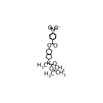 CN(C(=O)OC(C)(C)C)C1CC2=C(CC(OC(=O)c3ccc([N+](=O)[O-])cc3)C2)C1